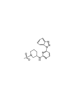 CS(=O)(=O)N1CCCC(Nc2nccc(-n3nnc4ccccc43)n2)C1